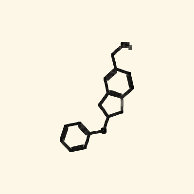 CCc1ccc2c(c1)CC(Oc1ccccc1)C2